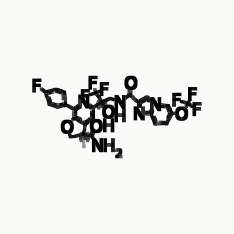 C[C@]1(C(N)=O)COc2c1cc([C@@](O)(CNC(=O)c1cn3cc(OC(F)(F)F)ccc3n1)C(F)(F)F)nc2-c1ccc(F)cc1